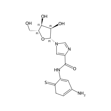 NC1=CCC(=S)C(NC(=O)c2cn([C@@H]3O[C@H](CO)[C@@H](O)[C@H]3O)cn2)=C1